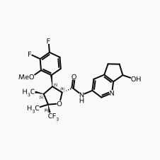 COc1c([C@H]2[C@H](C(=O)Nc3cnc4c(c3)CCC4O)O[C@@](C)(C(F)(F)F)[C@H]2C)ccc(F)c1F